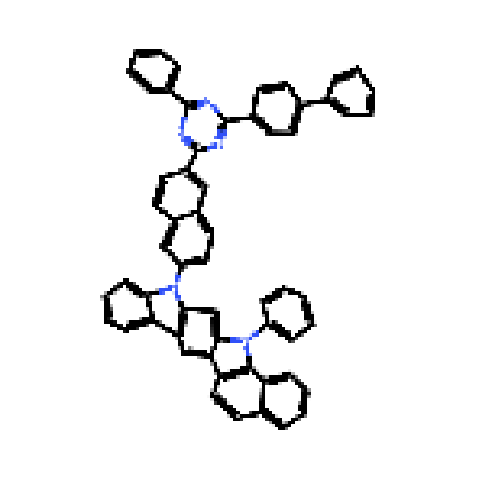 c1ccc(-c2ccc(-c3nc(-c4ccccc4)nc(-c4ccc5cc(-n6c7ccccc7c7cc8c9ccc%10ccccc%10c9n(-c9ccccc9)c8cc76)ccc5c4)n3)cc2)cc1